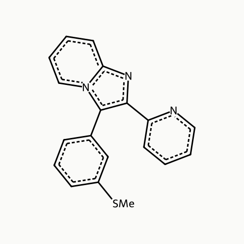 CSc1cccc(-c2c(-c3ccccn3)nc3ccccn23)c1